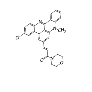 CN1c2ccccc2-c2nc3ccc(Cl)cc3c3cc(/C=C/C(=O)N4CCOCC4)cc1c23